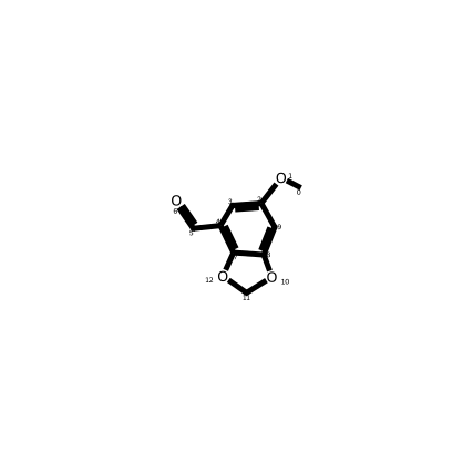 COc1cc(C=O)c2c(c1)OCO2